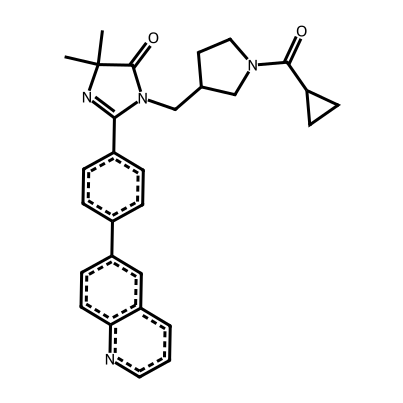 CC1(C)N=C(c2ccc(-c3ccc4ncccc4c3)cc2)N(CC2CCN(C(=O)C3CC3)C2)C1=O